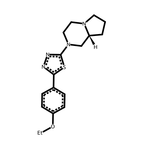 CCOc1ccc(-c2nnc(N3CCN4CCC[C@@H]4C3)s2)cc1